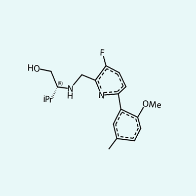 COc1ccc(C)cc1-c1ccc(F)c(CN[C@@H](CO)C(C)C)n1